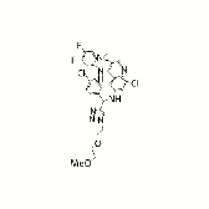 COCCOCCn1cc(C(Nc2cc(Cl)c3ncc(C#N)c(Nc4ccc(F)c(F)c4)c3c2)c2ccc(Cl)cc2)nn1